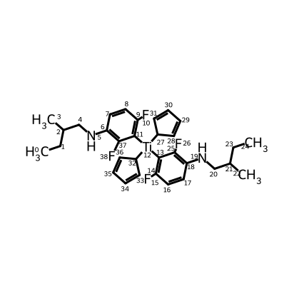 CCC(C)CNc1ccc(F)[c]([Ti]([c]2c(F)ccc(NCC(C)CC)c2F)([CH]2C=CC=C2)[CH]2C=CC=C2)c1F